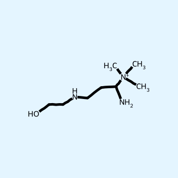 C[N+](C)(C)C(N)CCNCCO